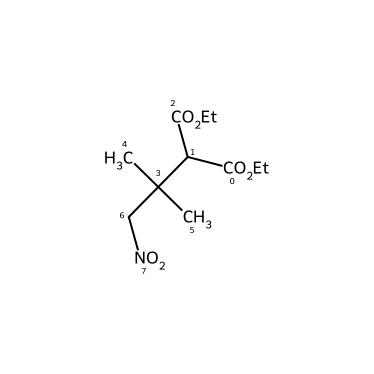 CCOC(=O)C(C(=O)OCC)C(C)(C)C[N+](=O)[O-]